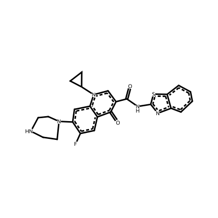 O=C(Nc1nc2ccccc2s1)c1cn(C2CC2)c2cc(N3CCNCC3)c(F)cc2c1=O